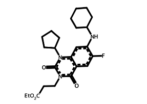 CCOC(=O)CCn1c(=O)c2cc(F)c(NC3CCCCC3)cc2n(C2CCCC2)c1=O